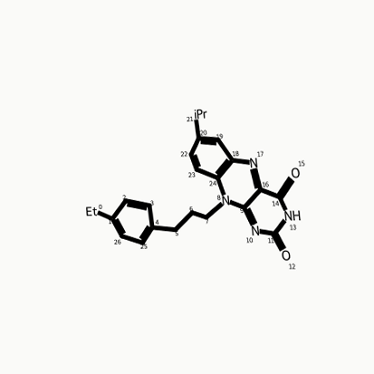 CCc1ccc(CCCn2c3nc(=O)[nH]c(=O)c-3nc3cc(C(C)C)ccc32)cc1